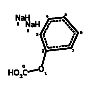 O=C(O)Oc1ccccc1.[NaH].[NaH]